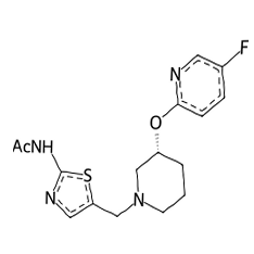 CC(=O)Nc1ncc(CN2CCC[C@@H](Oc3ccc(F)cn3)C2)s1